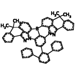 CC1(C)c2ccccc2-c2nn3c4c(ccc1c24)B1c2c-3cc(-c3c(-c4ccccc4)cccc3-c3ccccc3)cc2-n2nc3c4c(ccc1c42)C(C)(C)c1ccccc1-3